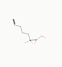 C=CCCCC1(C)OC1CO